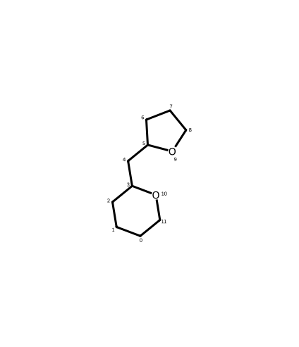 C1CCC(CC2CCCO2)OC1